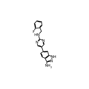 Nc1n[nH]c2cc(-c3cnc(NCc4ccccc4F)nc3)ccc12